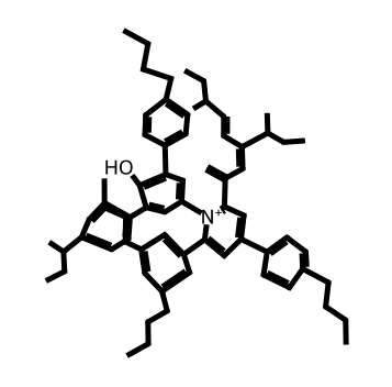 C=C(/C=C(\C=C\C(C)CC)C(C)CC)c1cc(-c2ccc(CCCC)cc2)cc(-c2cc(CCCC)cc(CCCC)c2)[n+]1-c1cc(-c2ccc(CCCC)cc2)c(O)c(-c2ccc(C(C)CC)cc2)c1